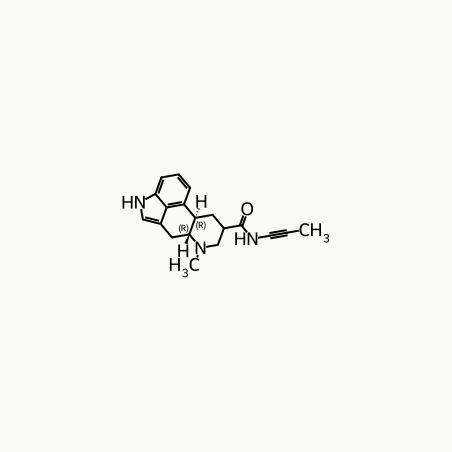 CC#CNC(=O)C1C[C@@H]2c3cccc4[nH]cc(c34)C[C@H]2N(C)C1